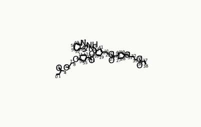 C=CC(=O)COCCCOc1ccc(C(=O)Oc2ccc(CCOC(=O)c3ccc(OCCCOC(=O)C=C)cc3)cc2/C=N/Nc2nc3ccccc3s2)cc1